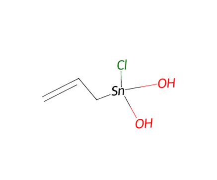 C=C[CH2][Sn]([OH])([OH])[Cl]